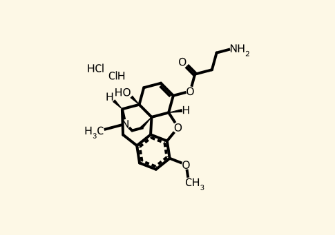 COc1ccc2c3c1O[C@H]1C(OC(=O)CCN)=CC[C@@]4(O)[C@@H](C2)N(C)CC[C@]314.Cl.Cl